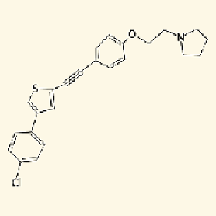 Clc1ccc(-c2csc(C#Cc3ccc(OCCN4CCCC4)cc3)c2)cc1